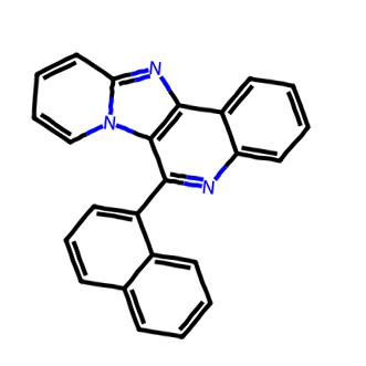 c1ccc2c(-c3nc4ccccc4c4nc5ccccn5c34)cccc2c1